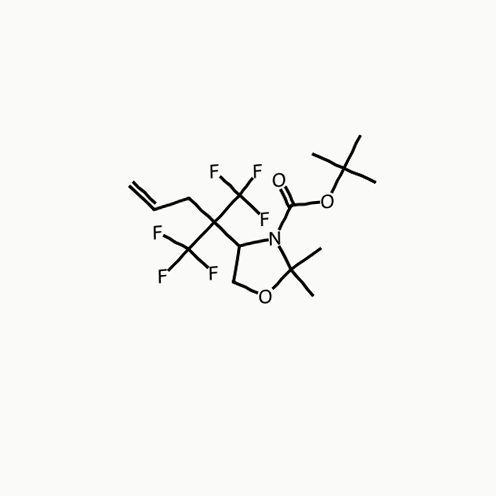 C=CCC(C1COC(C)(C)N1C(=O)OC(C)(C)C)(C(F)(F)F)C(F)(F)F